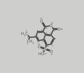 CC(C)c1cc2c3c(ccc(S(=O)(=O)O)c3c1)C(=O)OC2=O